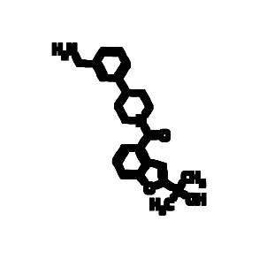 C[Si](C)(O)c1cc2c(C(=O)N3CCC(c4cccc(CN)c4)CC3)cccc2o1